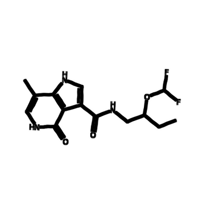 CCC(CNC(=O)c1c[nH]c2c(C)c[nH]c(=O)c12)OC(F)F